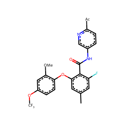 COc1cc(OC(F)(F)F)ccc1Oc1cc(C)cc(F)c1C(=O)Nc1ccc(C(C)=O)nc1